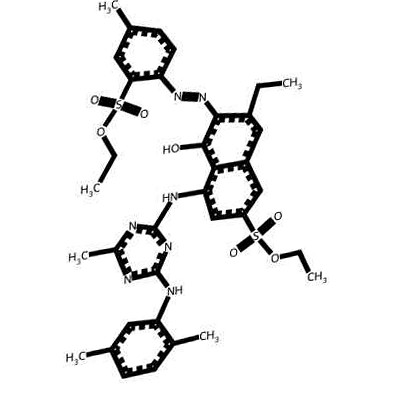 CCOS(=O)(=O)c1cc(Nc2nc(C)nc(Nc3cc(C)ccc3C)n2)c2c(O)c(N=Nc3ccc(C)cc3S(=O)(=O)OCC)c(CC)cc2c1